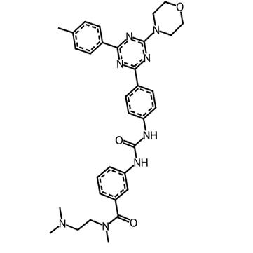 Cc1ccc(-c2nc(-c3ccc(NC(=O)Nc4cccc(C(=O)N(C)CCN(C)C)c4)cc3)nc(N3CCOCC3)n2)cc1